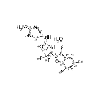 Cc1c([C@@H](NC(=O)Nc2cnc(N)nc2)C(F)(F)F)oc2c(F)cc(F)cc12.O